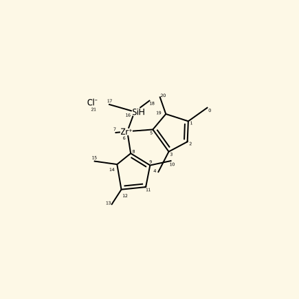 CC1=CC(C)=[C]([Zr+]([CH3])([C]2=C(C)C=C(C)C2C)[SiH](C)C)C1C.[Cl-]